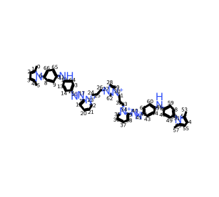 Cc1ccc(C)n1-c1ccc(Nc2ccc(/N=N/c3cccc[n+]3CCCn3cc[n+](CCC[n+]4ccccc4/N=N/c4ccc(Nc5ccc(-n6c(C)ccc6C)cc5)cc4)c3)cc2)cc1